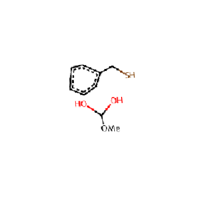 COC(O)O.SCc1ccccc1